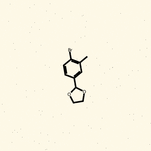 Cc1cc(C2OCCO2)ccc1Br